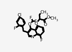 CCC(Oc1ccc(F)c2ncc(Cc3ccc(Cl)cc3F)c(OC(F)F)c12)C(=O)OC